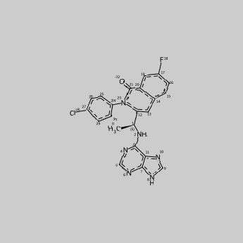 C[C@H](Nc1ncnc2[nH]cnc12)c1cc2ccc(F)cc2c(=O)n1-c1ccc(Cl)cc1